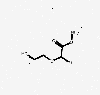 CCC(OCCO)C(=O)ON